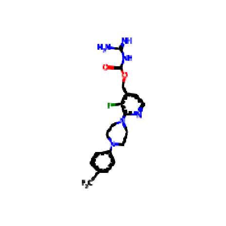 N=C(N)NC(=O)OCc1ccnc(N2CCN(c3ccc(C(F)(F)F)cc3)CC2)c1F